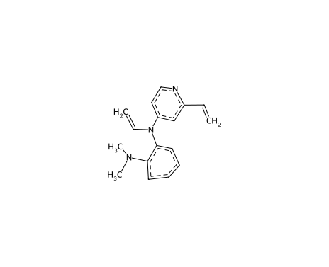 C=Cc1cc(N(C=C)c2ccccc2N(C)C)ccn1